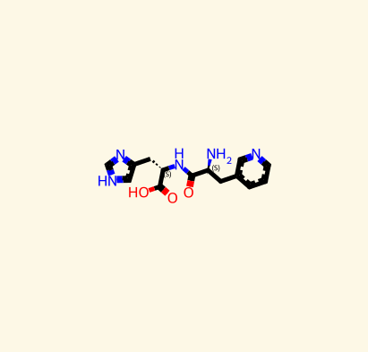 N[C@@H](Cc1cccnc1)C(=O)N[C@@H](Cc1c[nH]cn1)C(=O)O